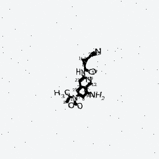 C[C@@H]1COC(=O)N1c1cc(N)c2cnc(NC(=O)C3CC3C#N)cc2c1